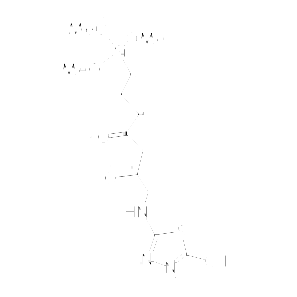 CO[Si](CCCC(=O)CC(O)CNc1nnc(C)s1)(OC)OC